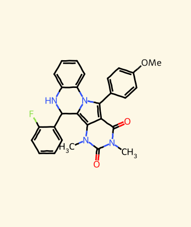 COc1ccc(-c2c3c(=O)n(C)c(=O)n(C)c3c3n2-c2ccccc2NC3c2ccccc2F)cc1